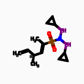 C=C[C@H](C)C=C(C)S(=O)(=O)N(PC1CC1)PC1CC1